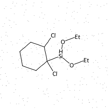 CCO[SiH](OCC)C1(Cl)CCCCC1Cl